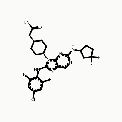 NC(=O)C[C@H]1CC[C@@H](n2c(Nc3c(F)cc(Cl)cc3F)nc3cnc(N[C@H]4CCC(F)(F)C4)nc32)CC1